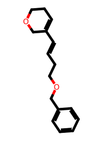 C(=CC1=CCCOC1)CCOCc1ccccc1